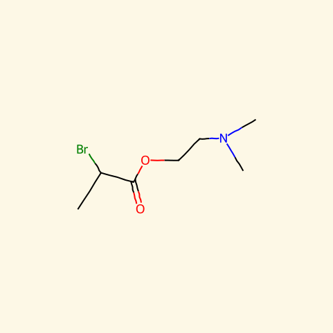 CC(Br)C(=O)OCCN(C)C